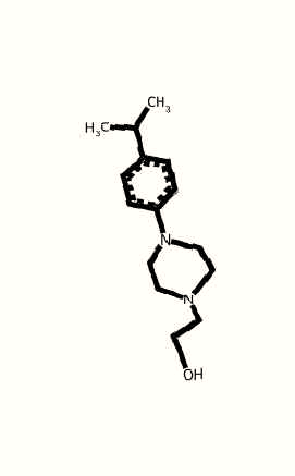 CC(C)c1ccc(N2CCN(CCO)CC2)cc1